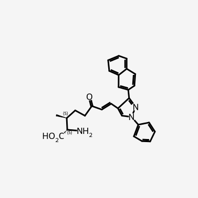 C[C@@H](CCC(=O)C=Cc1cn(-c2ccccc2)nc1-c1ccc2ccccc2c1)[C@H](N)C(=O)O